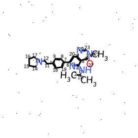 CC(C)Nc1nc(-c2ccc(CCN3CCCC3)cc2)cc2ncn(C)c(=O)c12